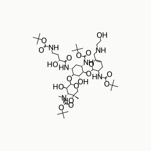 CN(C(=O)OC(C)(C)C)[C@@H]1[C@@H](O)[C@@H](O[C@@H]2[C@@H](O)[C@H](O[C@H]3OC(CNCCO)=CC[C@H]3NC(=O)OC(C)(C)C)[C@@H](NC(=O)OC(C)(C)C)C[C@H]2NC(=O)[C@H](O)CCNC(=O)OC(C)(C)C)OC[C@]1(C)O